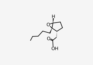 CCCCC[C@@]12O[C@@H]1CC[C@@H]2CC(=O)O